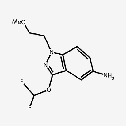 COCCn1nc(OC(F)F)c2cc(N)ccc21